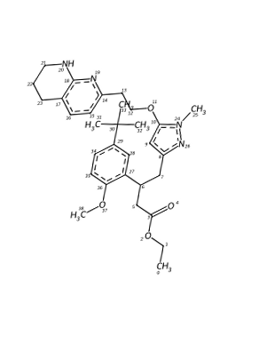 CCOC(=O)CC(Cc1cc(OCCc2ccc3c(n2)NCCC3)n(C)n1)c1cc(C(C)(C)C)ccc1OC